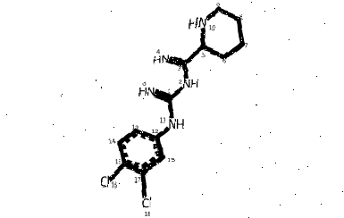 N=C(NC(=N)C1CCCCN1)Nc1ccc(Cl)c(Cl)c1